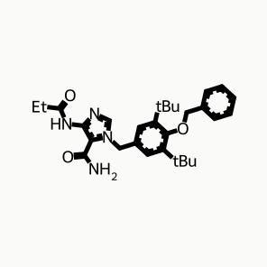 CCC(=O)Nc1ncn(Cc2cc(C(C)(C)C)c(OCc3ccccc3)c(C(C)(C)C)c2)c1C(N)=O